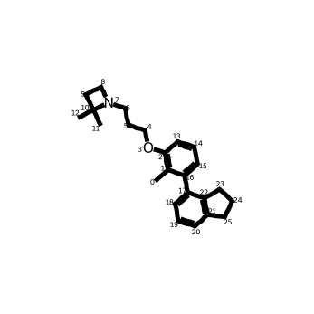 Cc1c(OCCCN2CCC2(C)C)cccc1-c1cccc2c1CCC2